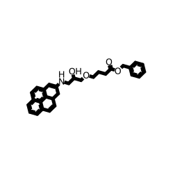 O=C(CCCOCC(O)CNC1=Cc2ccc3cccc4c3c2C(C=C4)C1)OCc1ccccc1